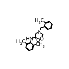 Cc1ccccc1CN(C=O)CC(=O)Nc1c(C)cccc1C